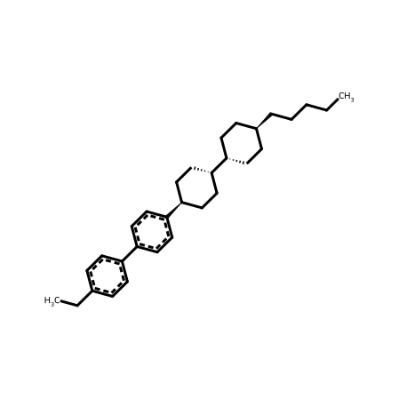 CCCCC[C@H]1CC[C@H]([C@H]2CC[C@H](c3ccc(-c4ccc(CC)cc4)cc3)CC2)CC1